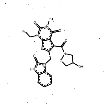 CC(C)Cn1c(=O)n(C)c(=O)c2c(C(=O)N3CC(O)CO3)c(Cn3c(=O)[nH]c4ccccc43)sc21